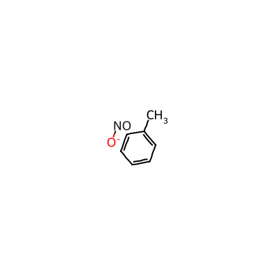 Cc1ccccc1.O=[NH+][O-]